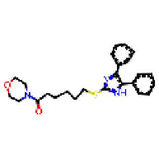 O=C(CCCCCSc1nc(-c2ccccc2)c(-c2ccccc2)[nH]1)N1CCOCC1